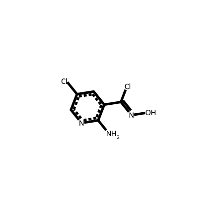 Nc1ncc(Cl)cc1C(Cl)=NO